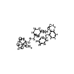 COc1ccccc1CN[C@H]1CCCN(CCCCC2(C)OCOC2C)[C@H]1c1ccccc1